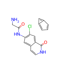 NCC(=O)Nc1cc2cc[nH]c(=O)c2cc1Cl.c1cc2cc-2c1